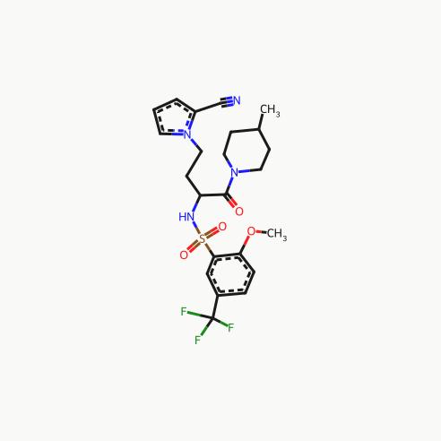 COc1ccc(C(F)(F)F)cc1S(=O)(=O)NC(CCn1cccc1C#N)C(=O)N1CCC(C)CC1